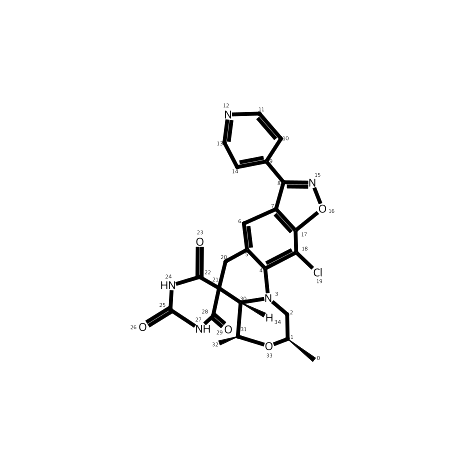 C[C@@H]1CN2c3c(cc4c(-c5ccncc5)noc4c3Cl)CC3(C(=O)NC(=O)NC3=O)[C@H]2[C@H](C)O1